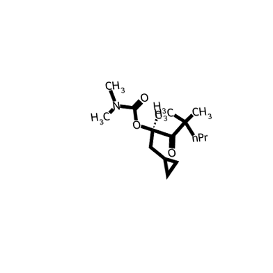 CCCC(C)(C)C(=O)[C@@](C)(CC1CC1)OC(=O)N(C)C